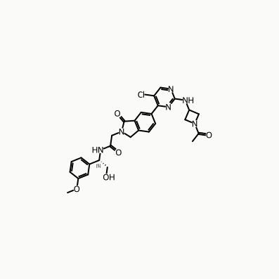 COc1cccc([C@@H](CO)NC(=O)CN2Cc3ccc(-c4nc(NC5CN(C(C)=O)C5)ncc4Cl)cc3C2=O)c1